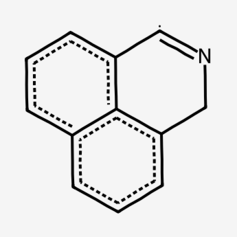 [C]1=NCc2cccc3cccc1c23